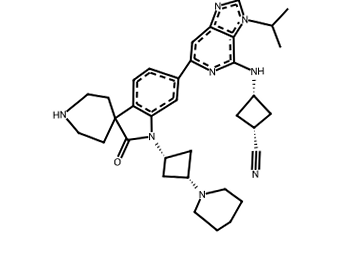 CC(C)n1cnc2cc(-c3ccc4c(c3)N([C@H]3C[C@@H](N5CCCCC5)C3)C(=O)C43CCNCC3)nc(N[C@H]3C[C@@H](C#N)C3)c21